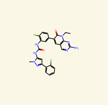 CCn1c(=O)c(-c2ccc(F)c(NC(=O)Nc3cc(-c4ccccc4F)nn3C)c2)cc2cnc(N)nc21